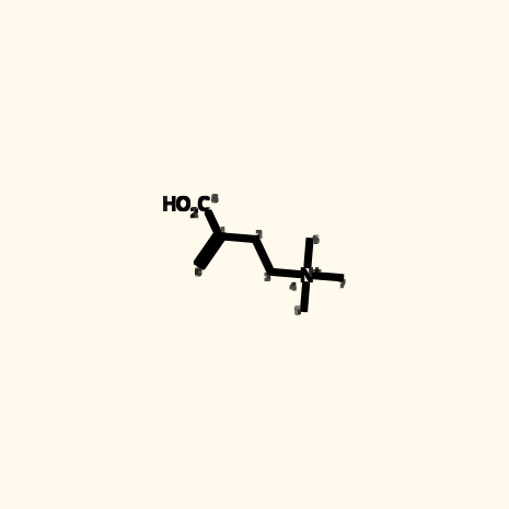 C=C(CC[N+](C)(C)C)C(=O)O